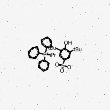 CC(C)(C)c1cc(S(=O)(=O)[O-])cc(C(C)(C)C)c1O.CC(C)[P+](c1ccccc1)(c1ccccc1)c1ccccc1